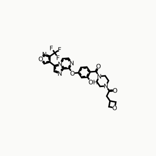 O=C(CC1COC1)N1CCN(C(=O)c2ccc(Oc3nccn4c(-c5conc5C(F)(F)F)cnc34)cc2O)CC1